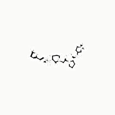 O=C(NC1CCS(=O)(=O)C1)[C@@H]1CCCN1C(=O)CN1CCC[C@H](NS(=O)(=O)/C=C/c2ccc(Cl)s2)C1=O